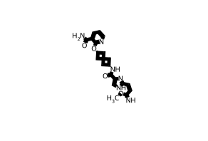 COC(=N)/C=C\c1nc(C(=O)N[C@H]2CC3(C2)C[C@H](Oc2ncccc2C(N)=O)C3)c[nH]1